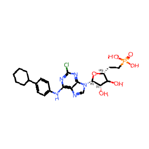 O=P(O)(O)CC[C@H]1O[C@@H](n2cnc3c(Nc4ccc(C5CCCCC5)cc4)nc(Cl)nc32)[C@@H](O)C1O